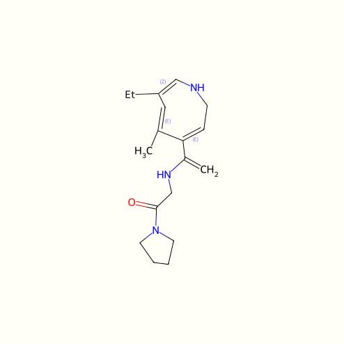 C=C(NCC(=O)N1CCCC1)C1=C\CN\C=C(CC)/C=C/1C